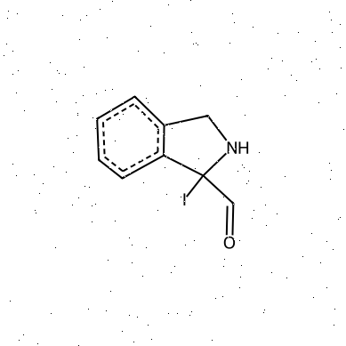 O=CC1(I)NCc2ccccc21